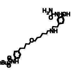 CCCCS(=O)(=O)Nc1ccc(CCCCOCCCCCCNCCc2ccc(O)c(NC(N)=O)c2)cc1